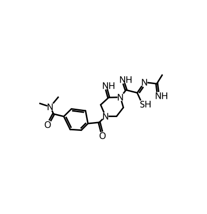 CC(=N)/N=C(\S)C(=N)N1CCN(C(=O)c2ccc(C(=O)N(C)C)cc2)CC1=N